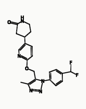 Cc1nnn(-c2ccc(C(F)F)cc2)c1COc1ccc(C2CCNC(=O)C2)cn1